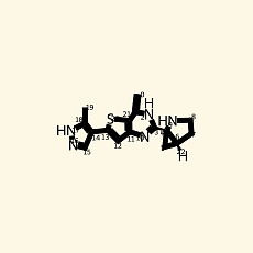 C=C1NC([C@]23C[C@H]2CCN3)=Nc2cc(-c3cn[nH]c3C)sc21